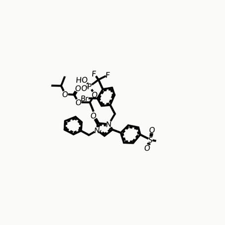 CC(C)OC(=O)OC(C)OP(=O)(O)C(F)(F)c1ccc(Cn2c(-c3ccc(S(C)(=O)=O)cc3)cn(Cc3ccccc3)c2=O)cc1Br